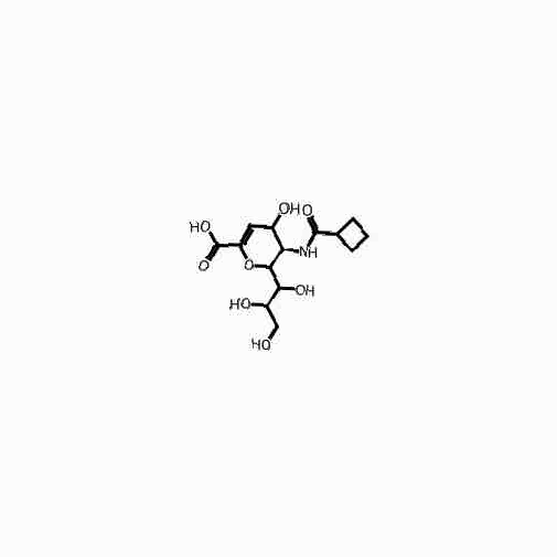 O=C(O)C1=CC(O)[C@@H](NC(=O)C2CCC2)C(C(O)C(O)CO)O1